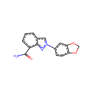 NC(=O)c1cccc2cn(-c3ccc4c(c3)OCO4)nc12